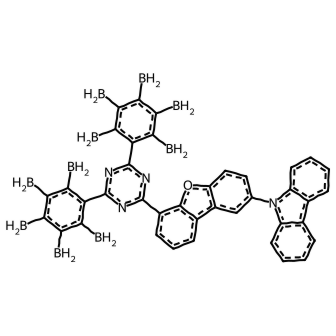 Bc1c(B)c(B)c(-c2nc(-c3c(B)c(B)c(B)c(B)c3B)nc(-c3cccc4c3oc3ccc(-n5c6ccccc6c6ccccc65)cc34)n2)c(B)c1B